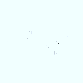 CCOc1ccnc(N2CCC(C(=O)N3N=CC[C@H]3c3ccccc3)CC2)n1